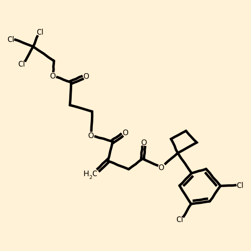 C=C(CC(=O)OC1(c2cc(Cl)cc(Cl)c2)CCC1)C(=O)OCCC(=O)OCC(Cl)(Cl)Cl